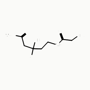 COC(=O)CC(C)(C)CCNC(=O)CC(C)(C)C